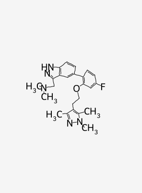 Cc1nn(C)c(C)c1CCOc1cc(F)ccc1-c1ccc2[nH]nc(CN(C)C)c2c1